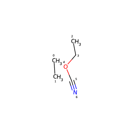 CC.CCOC#N